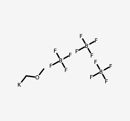 CO[CH2][K].F[B-](F)(F)F.F[B-](F)(F)F.F[B-](F)(F)F